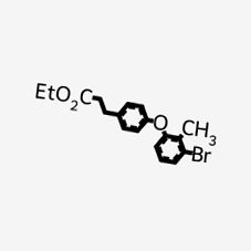 CCOC(=O)CCc1ccc(Oc2cccc(Br)c2C)cc1